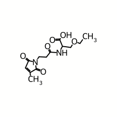 CCOCC(NC(=O)CCN1C(=O)C=C(C)C1=O)C(=O)O